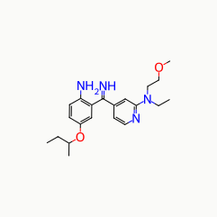 CCC(C)Oc1ccc(N)c(C(=N)c2ccnc(N(CC)CCOC)c2)c1